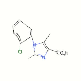 Cc1nc(C(=O)O)c(C)n1-c1ccccc1Cl